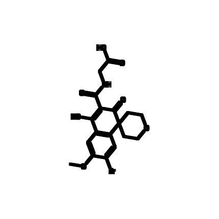 COc1cc2c(cc1Br)C1(CCOCC1)C(=O)C(C(=O)NCC(=O)O)=C2O